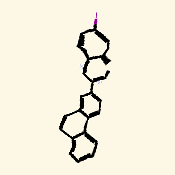 C=c1cc(I)cc/c1=C/C(=C\C)c1ccc2c(ccc3ccccc32)c1